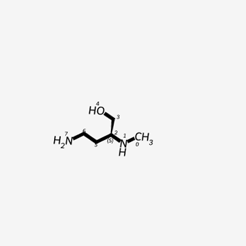 CN[C@H](CO)CCN